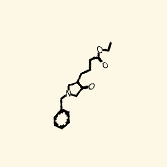 CCOC(=O)CCCC1CN(Cc2ccccc2)CC1=O